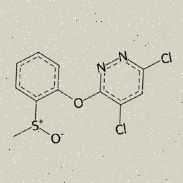 C[S+]([O-])c1ccccc1Oc1nnc(Cl)cc1Cl